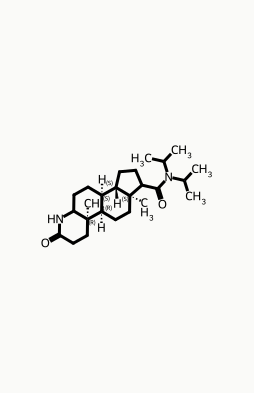 CC(C)N(C(=O)C1CC[C@H]2[C@@H]3CCC4NC(=O)CC[C@]4(C)[C@@H]3CC[C@]12C)C(C)C